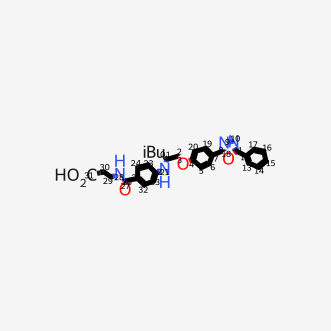 CCC(C)C(COc1ccc(-c2nnc(-c3ccccc3)o2)cc1)Nc1ccc(C(=O)NCCC(=O)O)cc1